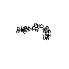 COC(=O)N[C@H](C(=O)N1CCC[C@H]1c1ncc(-c2cc(F)c3c(c2)OCn2c-3c(F)c3cc(-c4cnc([C@@H]5CCCN5C(=O)[C@@H](NC(=O)OC)C(C)C)[nH]4)ccc32)[nH]1)C(C)C